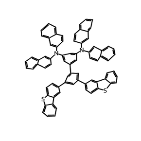 c1ccc2cc(N(c3cc(-c4cc(-c5ccc6sc7ccccc7c6c5)cc(-c5ccc6sc7ccccc7c6c5)c4)cc(N(c4ccc5ccccc5c4)c4ccc5ccccc5c4)c3)c3ccc4ccccc4c3)ccc2c1